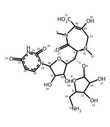 CN1C(=O)[C@H]([C@H](OC2OC(CN)C(O)C2O)C2OC(n3ccc(=O)[nH]c3=O)C(O)C2O)N(C)CC(O)=C1C(=O)O